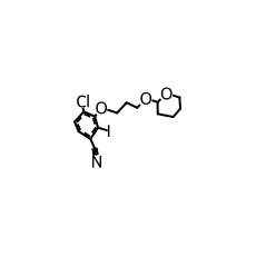 N#Cc1ccc(Cl)c(OCCCOC2CCCCO2)c1I